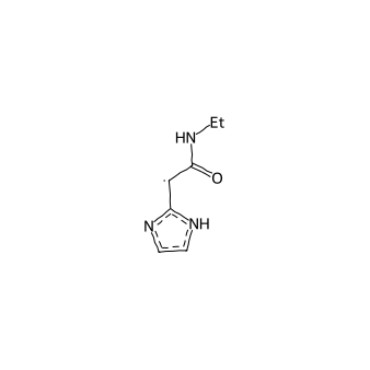 CCNC(=O)[CH]c1ncc[nH]1